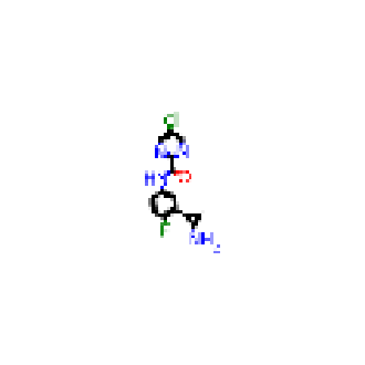 N[C@@H]1C[C@@H]1c1cc(NC(=O)c2ncc(Cl)cn2)ccc1F